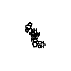 CC1(O)CCCc2nc(S(=O)(=O)NC(=O)Nc3c4c(cc5c3CC5)CC4)sc21